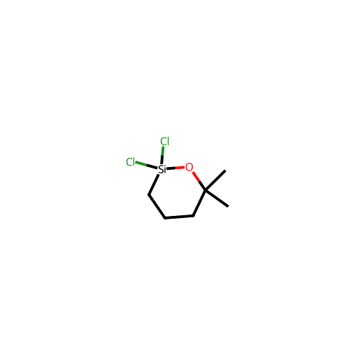 CC1(C)CCC[Si](Cl)(Cl)O1